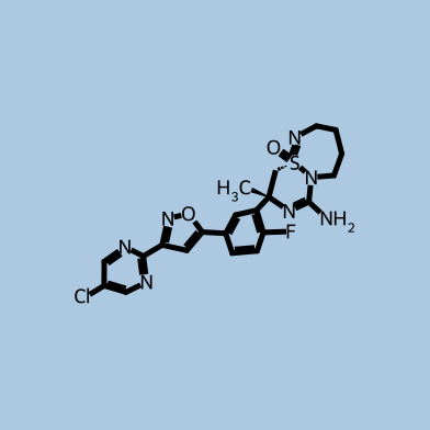 C[C@@]1(c2cc(-c3cc(-c4ncc(Cl)cn4)no3)ccc2F)C[S@]2(=O)=NCCCCN2C(N)=N1